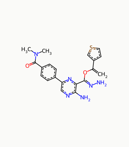 C=C(O/C(=N\N)c1nc(-c2ccc(C(=O)N(C)C)cc2)cnc1N)c1ccsc1